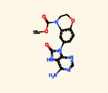 CC(C)(C)OC(=O)N1CCOc2ccc(-n3c(=O)[nH]c4c(N)ncnc43)cc21